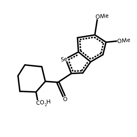 COc1cc2cc(C(=O)C3CCCCC3C(=O)O)[se]c2cc1OC